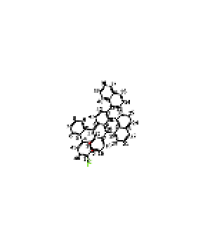 Fc1ccc(-c2ccccc2-c2c3ccccc3c(-c3cccc4ccccc34)c3cc(-c4cccc5ccccc45)ccc23)cc1